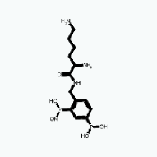 NCCCCC(N)C(=O)NCc1ccc(P(O)O)cc1P(O)N=O